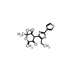 C=C1OC(C)(C)C(=O)C(c2nc(-c3ccsc3)sc2CC)C1=O